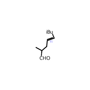 CCC(C)/C=C/CC(C)C=O